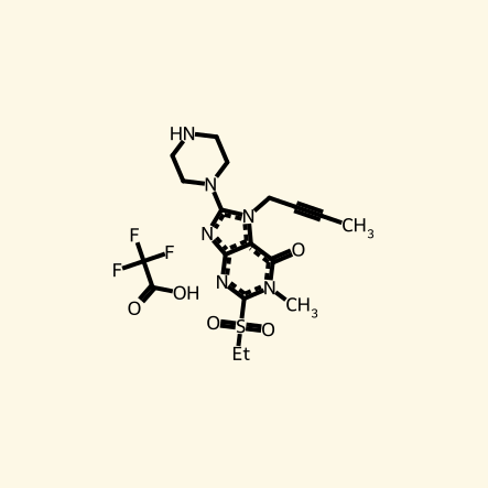 CC#CCn1c(N2CCNCC2)nc2nc(S(=O)(=O)CC)n(C)c(=O)c21.O=C(O)C(F)(F)F